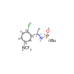 C/C(=N\[S@+]([O-])C(C)(C)C)c1cc(NC(F)(F)F)ccc1F